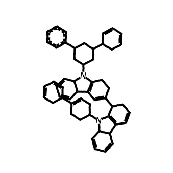 C1=CCC(C2=CCC(N3C4=C(C=CCC4C4=CC5=C(CC4)N(C4CC(c6ccccc6)CC(C6C=CC=CC6)C4)C4C=CC=CC54)C4C=CC=CC43)CC2)C=C1